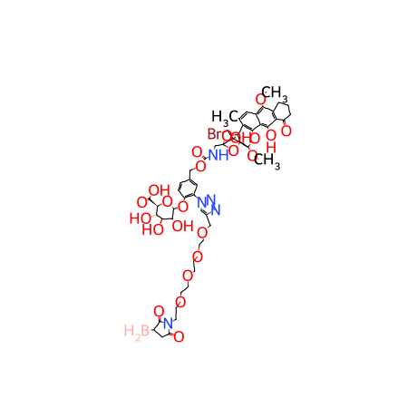 BC1CC(=O)N(CCOCCOCCOCCOCc2cn(-c3cc(COC(=O)NCC45OC6c7c(C)cc8c(OC)c9c(c(O)c8c7O[C@](OC)(C6O4)[C@@]5(O)CBr)C(=O)CCC9)ccc3O[C@@H]3O[C@H](C(=O)O)[C@@H](O)[C@H](O)[C@H]3O)nn2)C1=O